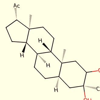 CC(=O)[C@H]1CC[C@H]2[C@@H]3CC[C@@H]4C[C@@](O)(C(F)(F)F)C(O)C[C@]4(C)[C@H]3CC[C@]12C